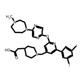 CN1CCCN(c2cnc(Oc3cc(CN4CCC(CC(=O)O)CC4)cc(-c4cc(I)cc(I)c4)n3)cn2)CC1